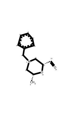 C[C@@H]1CN(Cc2ccccc2)C[C@H](C=O)O1